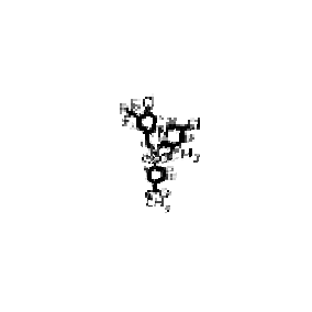 COC(=O)c1ccc(S(=O)(=O)N(Cc2ccc(Cl)c(C(F)(F)F)c2)c2ncc(Cl)cc2C)cc1